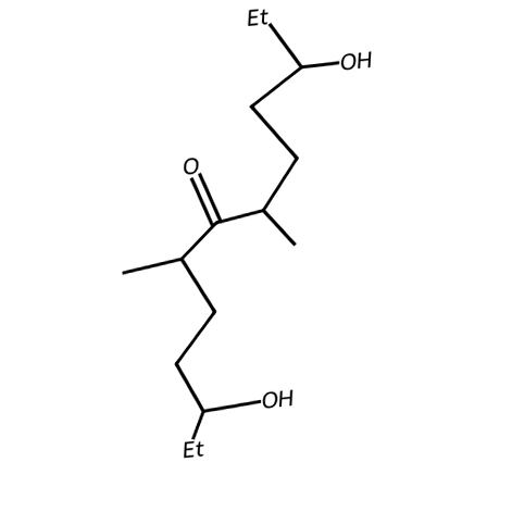 CCC(O)CCC(C)C(=O)C(C)CCC(O)CC